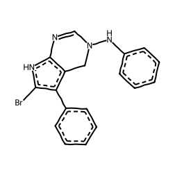 Brc1[nH]c2c(c1-c1ccccc1)CN(Nc1ccccc1)C=N2